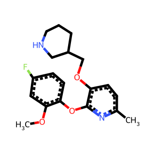 COc1cc(F)ccc1Oc1nc(C)ccc1OCC1CCCNC1